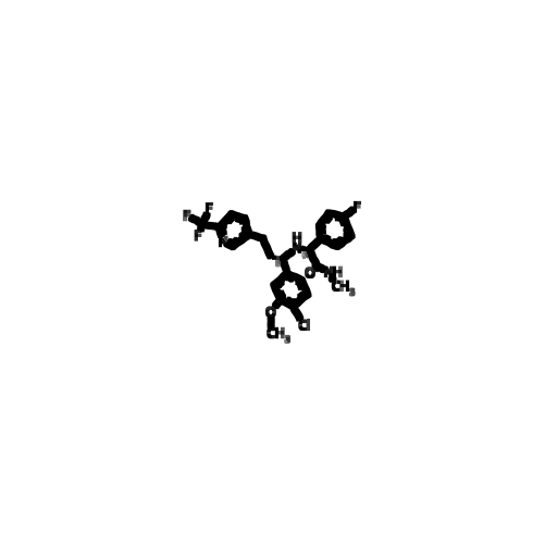 CNC(=O)[C@@H](N[C@@H](CCc1ccc(C(F)(F)F)nc1)c1ccc(Cl)c(OC)c1)c1ccc(F)cc1